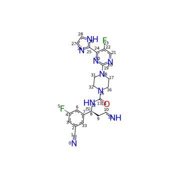 N#Cc1cc(F)cc([C@H](CC=N)NC(=O)N2CCN(c3ncc(F)c(-c4ncc[nH]4)n3)CC2)c1